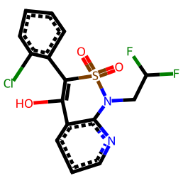 O=S1(=O)C(c2ccccc2Cl)=C(O)c2cccnc2N1CC(F)F